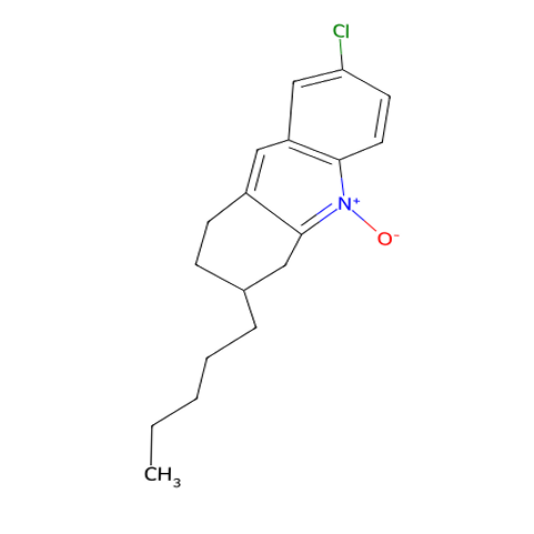 CCCCCC1CCc2cc3cc(Cl)ccc3[n+]([O-])c2C1